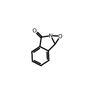 O=C1c2ccccc2C2ON12